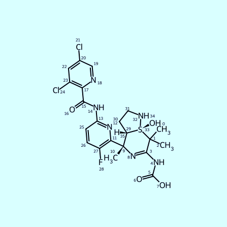 CC1(C)C(NC(=O)O)=N[C@](C)(c2nc(NC(=O)c3ncc(Cl)cc3Cl)ccc2F)[C@@H]2CCN[S@@]21O